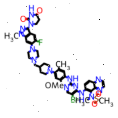 COc1cc(N2CCC(CN3CCN(c4cc5c(cc4F)c(N4CCC(=O)NC4=O)nn5C)CC3)CC2)c(C)cc1Nc1ncc(Br)c(Nc2ccc3nccnc3c2N(C)S(C)(=O)=O)n1